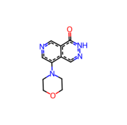 O=c1[nH]ncc2c(N3CCOCC3)cncc12